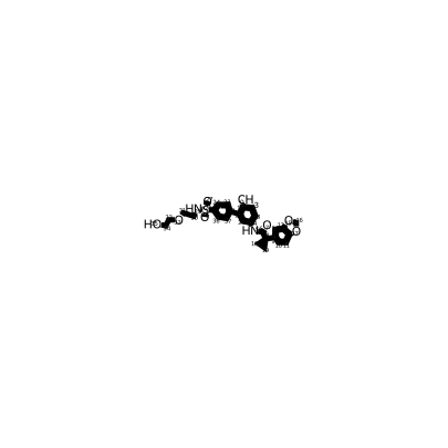 Cc1ccc(NC(=O)C2(c3ccc4c(c3)OCO4)CC2)cc1-c1ccc(S(=O)(=O)NCCOCCO)cc1